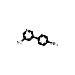 N#Cc1cncc(-c2ccc(N)cc2)c1